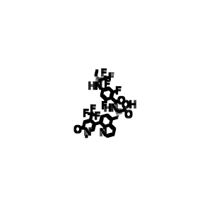 CC[C@@H](Nc1cc(F)c(C(=O)N[C@@H](Cc2ccc(-c3cn(C)c(=O)cc3C(F)(F)F)c3ncccc23)C(=O)O)c(F)c1)C(F)(F)F